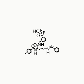 Cc1ccc(C(=O)NC(CCCCN[C@@H]2C[C@H]2c2ccccc2)C(=O)NCc2ccccc2)cc1.O=C(O)C(F)(F)F